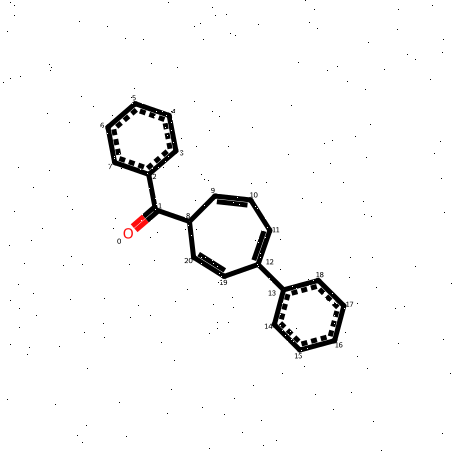 O=C(c1ccccc1)C1C=CC=C(c2ccccc2)C=C1